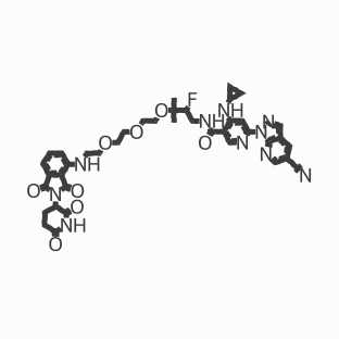 CC(C)(OCCOCCOCCNc1cccc2c1C(=O)N(C1CCC(=O)NC1=O)C2=O)C(F)CNC(=O)c1cnc(-n2ncc3cc(C#N)cnc32)cc1NC1CC1